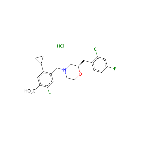 Cl.O=C(O)c1cc(C2CC2)c(CN2CCO[C@H](Cc3ccc(F)cc3Cl)C2)cc1F